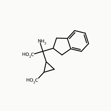 NC(C(=O)O)(C1Cc2ccccc2C1)C1CC1C(=O)O